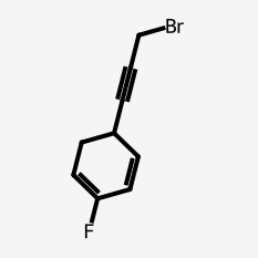 FC1=CCC(C#CCBr)C=C1